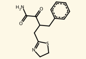 NC(=O)C(=O)C(CC1=NCCS1)Cc1ccccc1